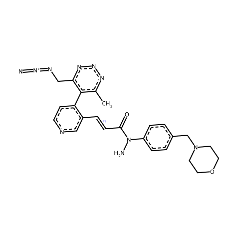 Cc1nnnc(CN=[N+]=[N-])c1-c1ccncc1/C=C/C(=O)N(N)c1ccc(CN2CCOCC2)cc1